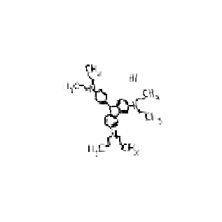 CCCN(CCC)c1ccc(C2c3ccc(N(CCC)CCC)cc3-c3cc(N(CCC)CCC)ccc32)cc1.I